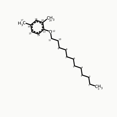 CCCCCCCCCCCCOc1ccc(C)cc1C